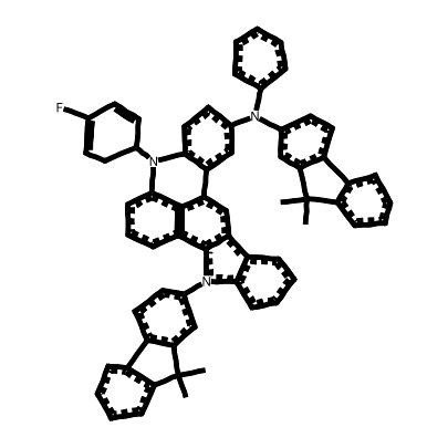 CC1(C)c2ccccc2-c2ccc(N(c3ccccc3)c3ccc(N(c4ccccc4)C4C=CC(F)=CC4)c(-c4ccc5c(c4)c4ccccc4n5-c4ccc5c(c4)C(C)(C)c4ccccc4-5)c3)cc21